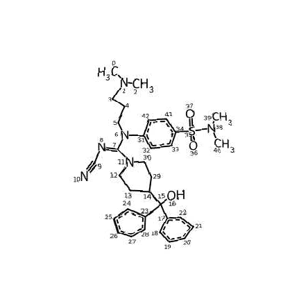 CN(C)CCCN(/C(=N/C#N)N1CCC(C(O)(c2ccccc2)c2ccccc2)CC1)c1ccc(S(=O)(=O)N(C)C)cc1